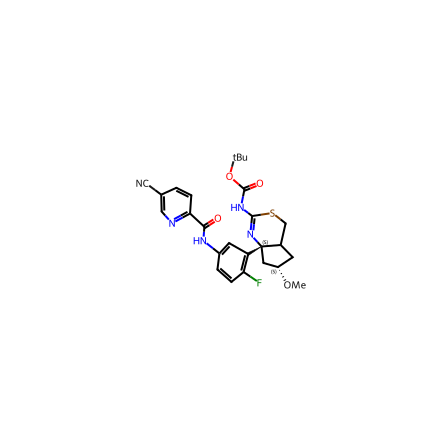 CO[C@H]1CC2CSC(NC(=O)OC(C)(C)C)=N[C@@]2(c2cc(NC(=O)c3ccc(C#N)cn3)ccc2F)C1